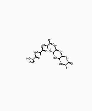 CC(O)C(=O)[O-].CC(O)C(=O)[O-].CC(O)C(=O)[O-].CC(O)C(=O)[O-].CC(O)C(=O)[O-].CC(O)C(=O)[O-].[Mo+6]